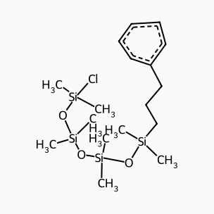 C[Si](C)(Cl)O[Si](C)(C)O[Si](C)(C)O[Si](C)(C)CCCc1ccccc1